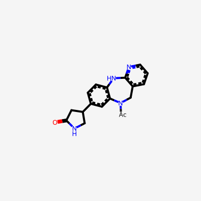 CC(=O)N1Cc2cccnc2Nc2ccc(C3CNC(=O)C3)cc21